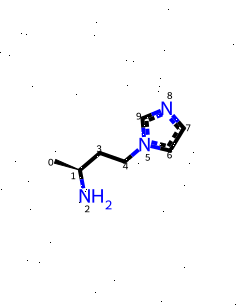 C[C@H](N)CCn1ccnc1